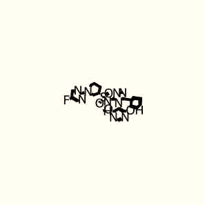 COc1ncnc(O)c1-n1c(NS(=O)(=O)[C@@H]2CCCN(c3ncc(F)cn3)C2)nnc1C1=C=C=CC=C1